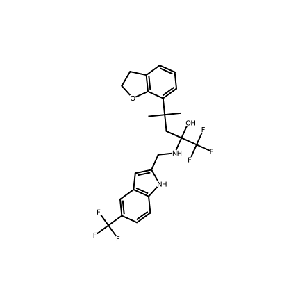 CC(C)(CC(O)(NCc1cc2cc(C(F)(F)F)ccc2[nH]1)C(F)(F)F)c1cccc2c1OCC2